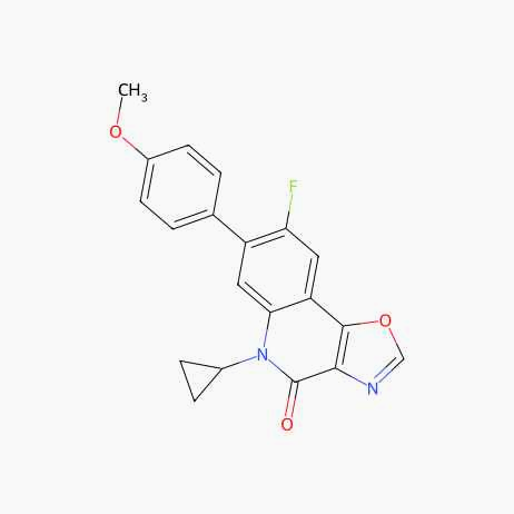 COc1ccc(-c2cc3c(cc2F)c2ocnc2c(=O)n3C2CC2)cc1